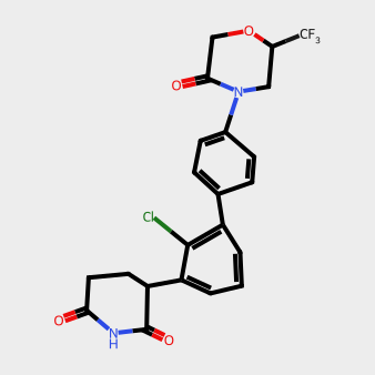 O=C1CCC(c2cccc(-c3ccc(N4CC(C(F)(F)F)OCC4=O)cc3)c2Cl)C(=O)N1